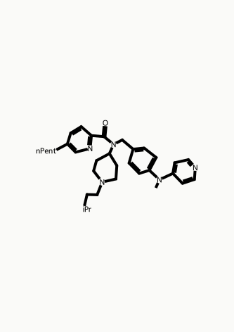 CCCCCc1ccc(C(=O)N(Cc2ccc(N(C)c3ccncc3)cc2)C2CCN(CCC(C)C)CC2)nc1